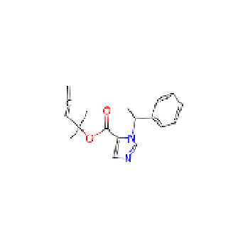 C=C=CC(C)(C)OC(=O)c1cncn1C(C)c1ccccc1